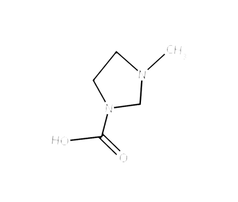 CN1CCN(C(=O)O)C1